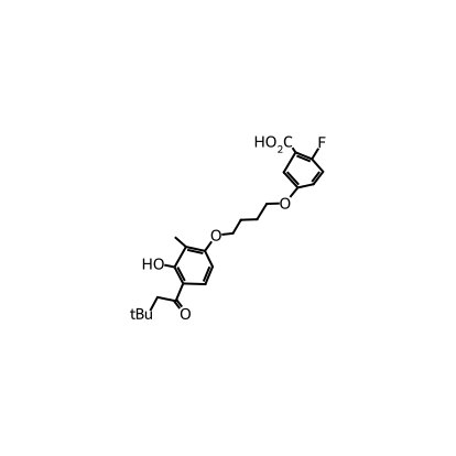 Cc1c(OCCCCOc2ccc(F)c(C(=O)O)c2)ccc(C(=O)CC(C)(C)C)c1O